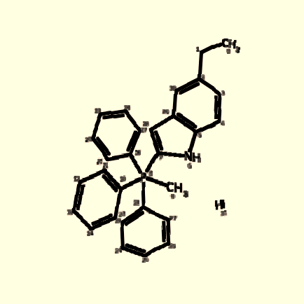 CCc1ccc2[nH]c(P(C)(c3ccccc3)(c3ccccc3)c3ccccc3)cc2c1.I